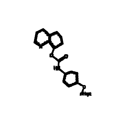 CCCCCCCOc1ccc(NC(=O)Oc2cccc3cccnc23)cc1